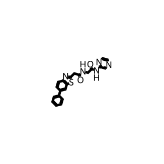 O=C(Cc1nc2ccc(-c3ccccc3)cc2s1)NCC(=O)Nc1cnccn1